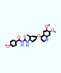 COc1ccc(C(=O)NC(=S)Nc2ccc(Oc3ccnc4cc(OC)c(OC)cc34)cc2C)cc1